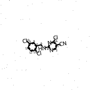 N#Cc1cnc(NCc2cc(Cl)ccc2Cl)nc1Cl